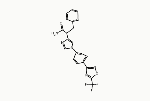 NC(=O)C(Cc1ccccc1)c1cn(-c2ccc(-c3noc(C(F)(F)F)n3)cc2)cn1